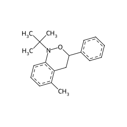 Cc1cccc2c1CC(c1ccccc1)ON2C(C)(C)C